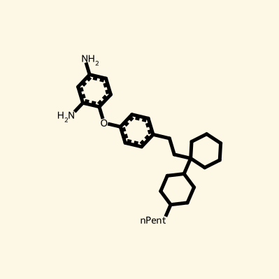 CCCCCC1CCC(C2(CCc3ccc(Oc4ccc(N)cc4N)cc3)CCCCC2)CC1